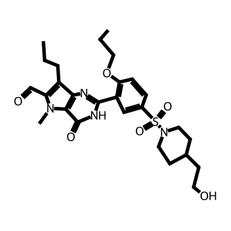 CCCOc1ccc(S(=O)(=O)N2CCC(CCO)CC2)cc1-c1nc2c(CCC)c(C=O)n(C)c2c(=O)[nH]1